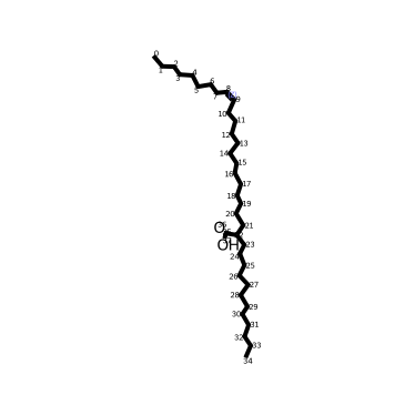 CCCCCCCC/C=C\CCCCCCCCCCCCC(CCCCCCCCCCCC)C(=O)O